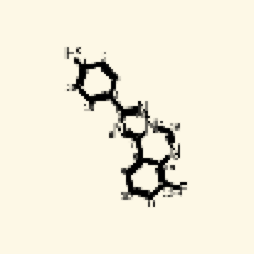 Fc1ccc(-c2nc3c4cccc(F)c4ncn3n2)cc1